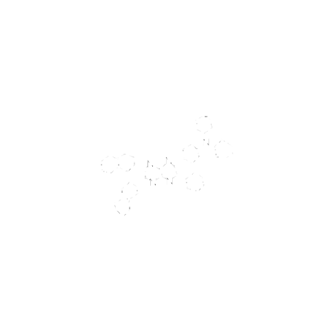 CC1(C)c2ccccc2N(c2ccc(-c3nc4nc(-c5ccc6ccccc6c5)c(-c5ccc6ccccc6c5)nc4nc3-c3ccccc3)cc2)c2ccccc21